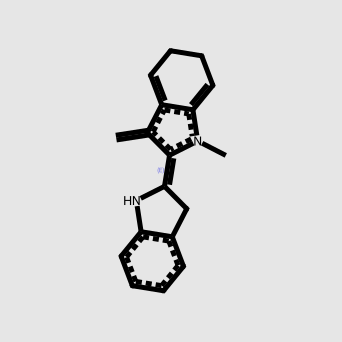 C=c1c2c(n(C)/c1=C1\Cc3ccccc3N1)=CCCC=2